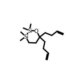 C=CCCC1(CCC=C)CC[Si](C)(C)[Si](C)(C)O1